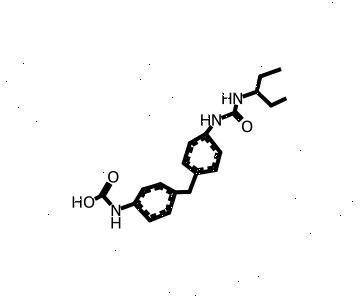 CCC(CC)NC(=O)Nc1ccc(Cc2ccc(NC(=O)O)cc2)cc1